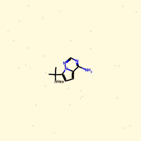 CCCCCCC(C)(C)c1ccc2c(N)ncnn12